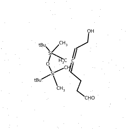 CC(C)(C)[Si](C)(C)O[Si](C)(C)C(C)(C)C.O=CCCC=C=CCO